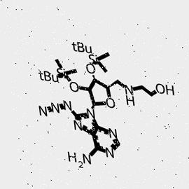 CC(C)(C)[Si](C)(C)OC1[C@H](n2c(N=[N+]=[N-])nc3c(N)ncnc32)O[C@H](CNCCO)[C@H]1O[Si](C)(C)C(C)(C)C